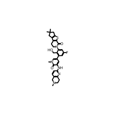 CN1CCc2nc(Nc3cc(-c4cc(F)cc(N5CCc6c(sc7c6CC(C)(C)C7)C5=O)c4CO)cn(C)c3=O)ccc2C1